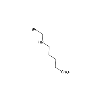 CC(C)CNCCCC[C]=O